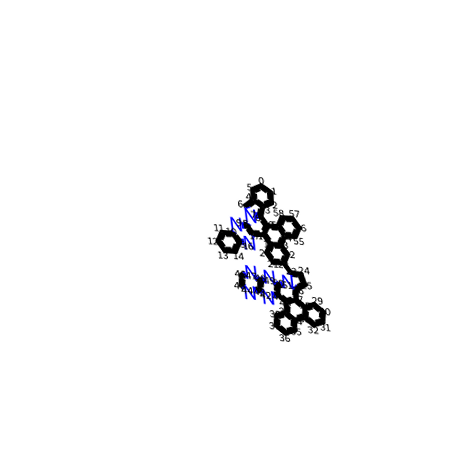 c1ccc2c(c1)cn1c3nc4ccccc4nc3c3c4ccc(-c5ccc6c7c8ccccc8c8ccccc8c7c7nc8nccnc8nc7n56)cc4c4ccccc4c3c21